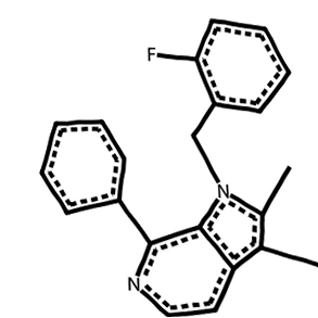 Cc1c(C)n(Cc2ccccc2F)c2c(-c3ccccc3)nccc12